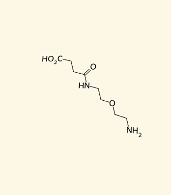 NCCOCCNC(=O)CCC(=O)O